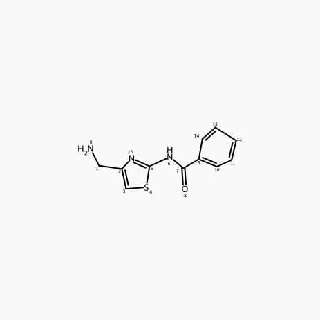 NCc1csc(NC(=O)c2ccccc2)n1